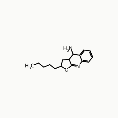 CCCCCC1CC2C(=Nc3ccccc3C2N)O1